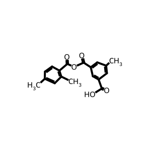 Cc1cc(C(=O)O)cc(C(=O)OC(=O)c2ccc(C)cc2C)c1